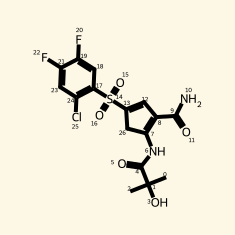 CC(C)(O)C(=O)NC1=C(C(N)=O)C=C(S(=O)(=O)c2cc(F)c(F)cc2Cl)C1